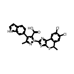 Cc1nn(-c2nc3c(s2)SC(C)c2cc(Cl)c(Cl)cc2-3)c(C(=O)O)c1-c1ccc2cc[nH]c2c1